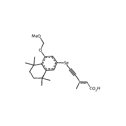 COCOc1cc([Se]C#C/C(C)=C/C(=O)O)cc2c1C(C)(C)CCC2(C)C